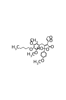 CCCCCOc1c(OC)cc(CC2=C(C3=CCOO3)C(=O)OC2(O)c2ccc(OC)cc2)cc1OC